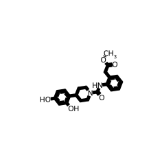 COC(=O)Cc1ccccc1NC(=O)N1CCC(c2ccc(O)cc2O)CC1